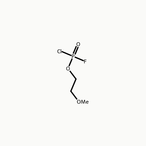 COCCOP(=O)(F)Cl